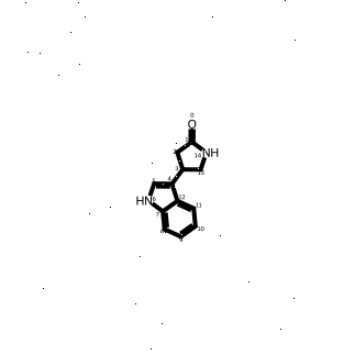 O=C1CC(c2c[nH]c3ccccc23)CN1